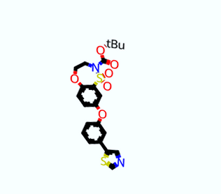 CC(C)(C)OC(=O)N1CCOc2ccc(Oc3cccc(-c4cncs4)c3)cc2S1(=O)=O